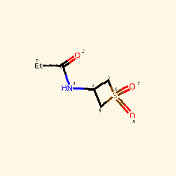 CCC(=O)NC1CS(=O)(=O)C1